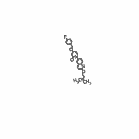 CN(C)CCOc1ccc2cc(-n3ccc(OCc4ccc(F)cc4)cc3=O)ccc2n1